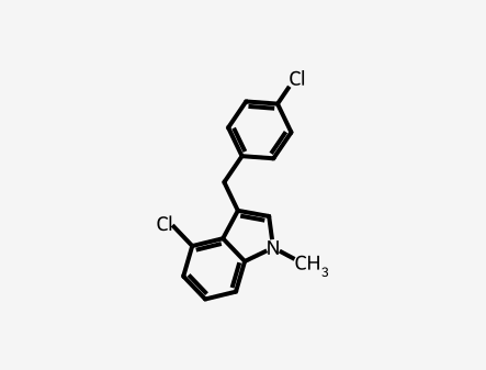 Cn1cc(Cc2ccc(Cl)cc2)c2c(Cl)cccc21